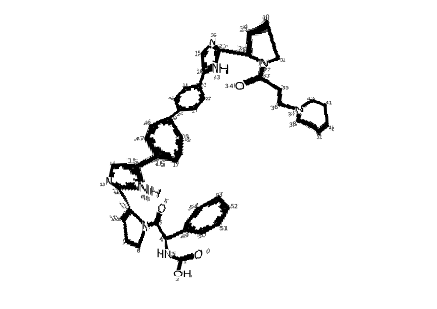 O=C(O)N[C@@H](C(=O)N1CCC[C@H]1c1ncc(-c2ccc(-c3ccc(-c4cnc(C5CCCN5C(=O)CCN5CCCCC5)[nH]4)cc3)cc2)[nH]1)c1ccccc1